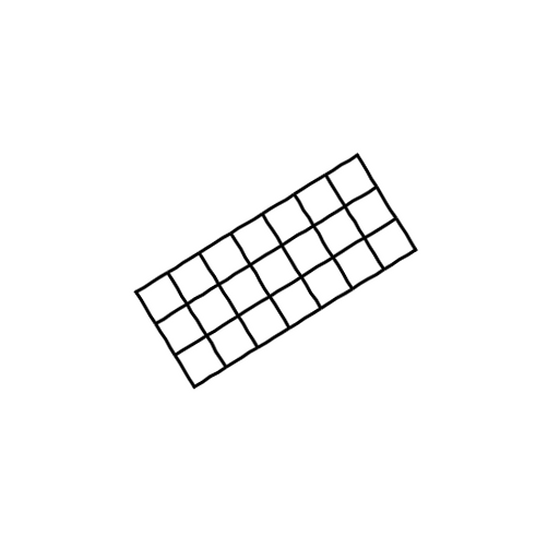 C1C2C3CC4C5C6C7C8C9CC%10C%11CC%12C%13C%14C%15C%16C1C21C34C52C%161C%151C%143C%134C%11%12C%109C84C73C621